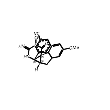 COC1=CC2C[C@H]3[C@]4(C(=O)N(C)C(=N)N[C@@]34c3cccc(C#N)c3)C2C=C1